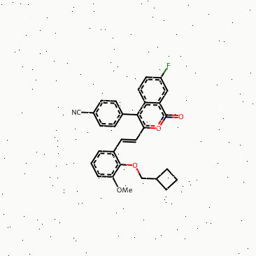 COc1cccc(C=Cc2oc(=O)c3cc(F)ccc3c2-c2ccc(C#N)cc2)c1OCC1CCC1